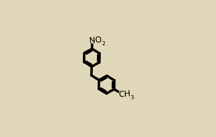 Cc1ccc(Cc2ccc([N+](=O)[O-])cc2)cc1